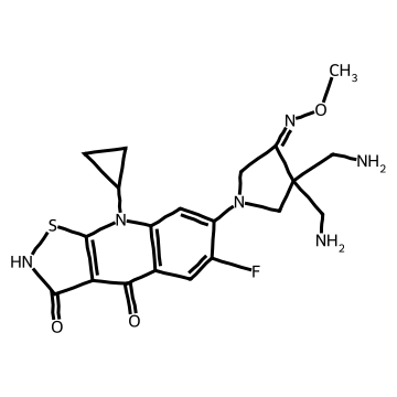 CO/N=C1/CN(c2cc3c(cc2F)c(=O)c2c(=O)[nH]sc2n3C2CC2)CC1(CN)CN